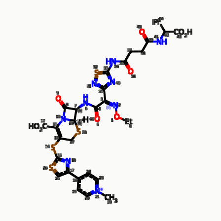 CCO/N=C(\C(=O)N[C@@H]1C(=O)N2C(C(=O)O)=C(Sc3nc(-c4cc[n+](C)cc4)cs3)CS[C@H]12)c1nsc(NC(=O)CCC(=O)NC(C(=O)O)C(C)C)n1